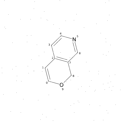 C1=Cc2ccncc2CO1